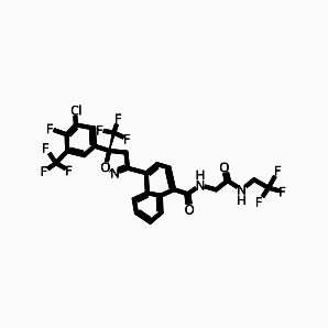 O=C(CNC(=O)c1ccc(C2=NO[C@@](c3cc(Cl)c(F)c(C(F)(F)F)c3)(C(F)(F)F)C2)c2ccccc12)NCC(F)(F)F